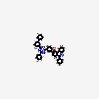 C1=CC(c2ccccc2)CC(c2nc(-c3ccccc3)nc(-c3ccc4oc5c(ccc6c(-c7ccccc7)nc7ccccc7c65)c4c3)n2)=C1